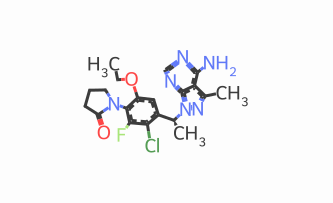 CCOc1cc([C@H](C)n2nc(C)c3c(N)ncnc32)c(Cl)c(F)c1N1CCCC1=O